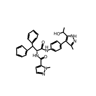 Cc1n[nH]c(C(C)O)c1-c1ccc(NC(=O)[C@@H](NC(=O)c2ccnn2C)C(c2ccccc2)c2ccccc2)cc1